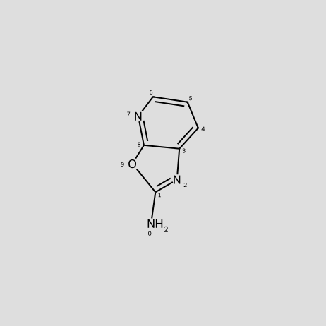 Nc1nc2cccnc2o1